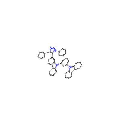 c1ccc(-c2nnn(-c3ccccc3)c2-c2ccc3c4ccccc4n(-c4cccc(-n5c6ccccc6c6ccccc65)c4)c3c2)cc1